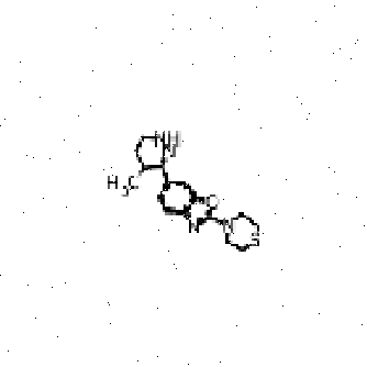 CC1CCNN=C1c1ccc2nc(N3CCSCC3)oc2c1